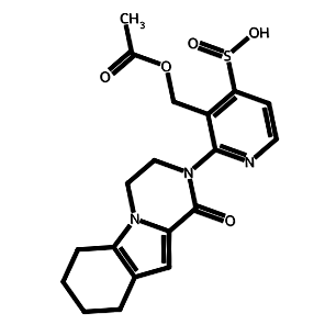 CC(=O)OCc1c(S(=O)O)ccnc1N1CCn2c(cc3c2CCCC3)C1=O